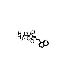 CC1(C)OC(=O)C(=CCCc2cccc3ccccc23)C(=O)O1